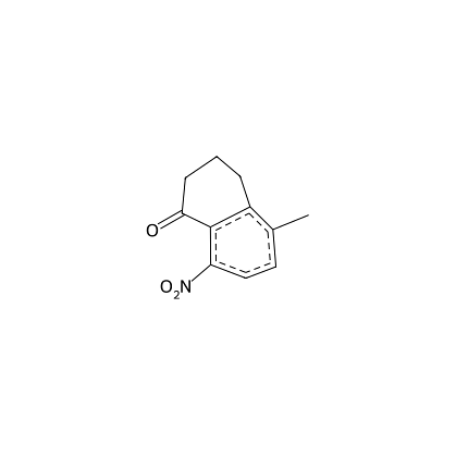 Cc1ccc([N+](=O)[O-])c2c1CCCC2=O